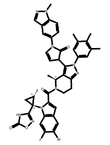 Cc1cc(-n2nc3c(c2C2C=CN(c4ccc5c(cnn5C)c4)C2=O)[C@H](C)N(C(=O)c2cc4cc(Br)c(F)cc4n2[C@@]2(c4noc(=O)[nH]4)C[C@@H]2C)CC3)cc(C)c1C